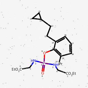 CCOC(=O)CNP(=O)(NCC(=O)OCC)Oc1c(CCC2CC2)cccc1C(C)C